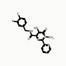 Cn1c(-c2ccccn2)nc(C(=O)NCc2ccc(F)c(F)c2)c(O)c1=O